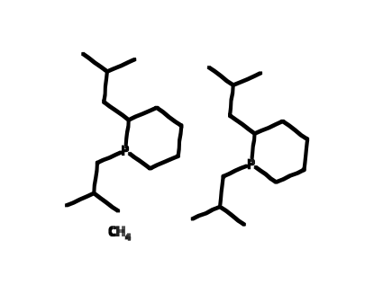 C.CC(C)CC1CCCCP1CC(C)C.CC(C)CC1CCCCP1CC(C)C